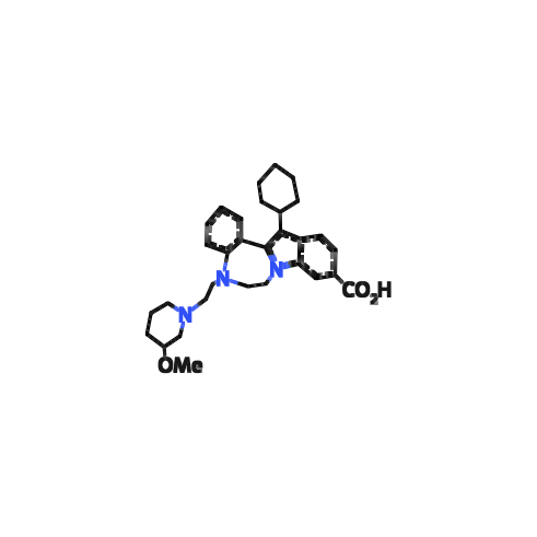 COC1CCCN(CCN2CCn3c(c(C4CCCCC4)c4ccc(C(=O)O)cc43)-c3ccccc32)C1